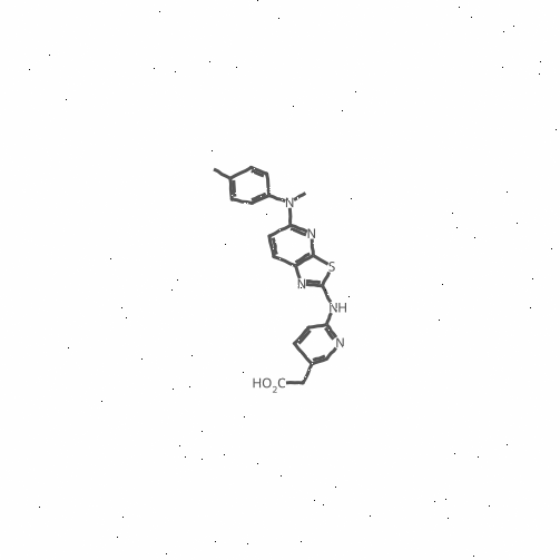 Cc1ccc(N(C)c2ccc3nc(Nc4ccc(CC(=O)O)cn4)sc3n2)cc1